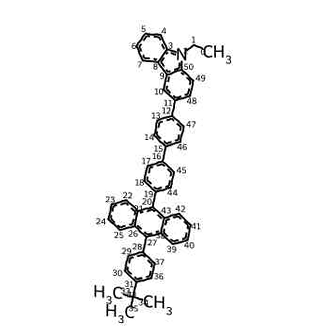 CCn1c2ccccc2c2cc(-c3ccc(-c4ccc(-c5c6ccccc6c(-c6ccc(C(C)(C)C)cc6)c6ccccc56)cc4)cc3)ccc21